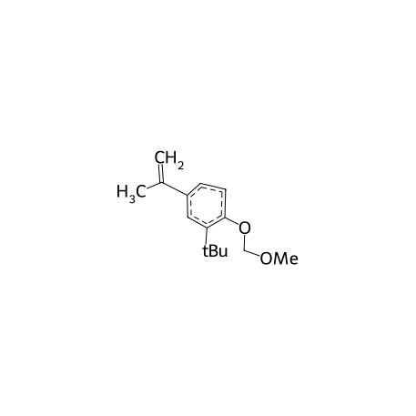 C=C(C)c1ccc(OCOC)c(C(C)(C)C)c1